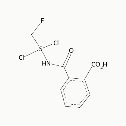 O=C(O)c1ccccc1C(=O)NS(Cl)(Cl)CF